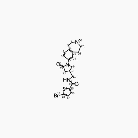 CN1CCc2ccc(N3CC(CNC(=O)c4ccc(Br)s4)CC3=O)cc2CC1